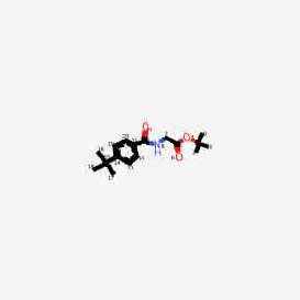 CC(C)(C)OC(=O)CNC(=O)c1ccc(C(C)(C)C)cc1